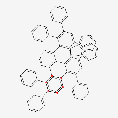 c1ccc(-c2cc3c(c(-c4cccc(-c5nnnc(-c6ccccc6)c5-c5ccccc5)c4-c4c5c(cc(-c6ccccc6)c4-c4ccccc4)-c4ccccc4C5)c2-c2ccccc2)Cc2ccccc2-3)cc1